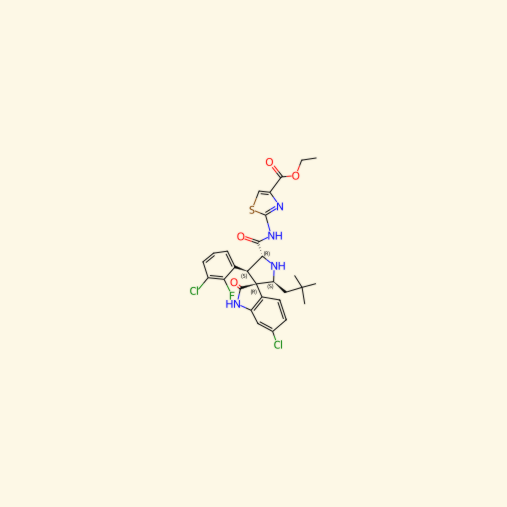 CCOC(=O)c1csc(NC(=O)[C@@H]2N[C@@H](CC(C)(C)C)[C@@]3(C(=O)Nc4cc(Cl)ccc43)[C@H]2c2cccc(Cl)c2F)n1